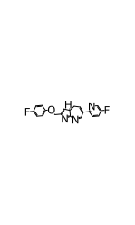 Fc1ccc(OCC2=C[C@H]3CC=C(c4ccc(F)cn4)C=NC3=N2)cc1